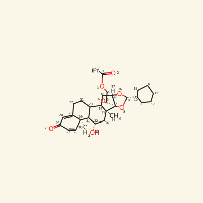 CC(C)C(=O)OCC(=O)[C@@]12O[C@@H](C3CCCCC3)O[C@@H]1CC1C3CCC4=CC(=O)C=C[C@]4(C)C3[C@@H](O)C[C@@]12C